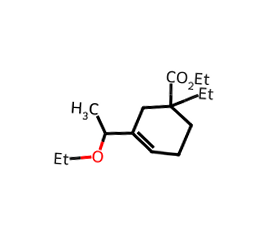 CCOC(=O)C1(CC)CCC=C(C(C)OCC)C1